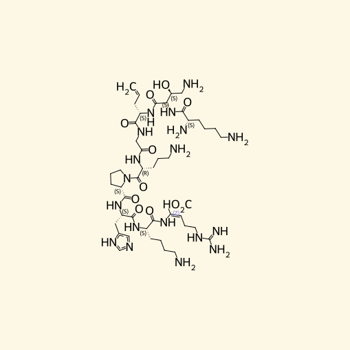 C=CC[C@H](NC(=O)[C@@H](NC(=O)[C@@H](N)CCCCN)[C@@H](O)CN)C(=O)NCC(=O)N[C@H](CCCN)C(=O)N1CCC[C@H]1C(=O)N[C@@H](Cc1cnc[nH]1)C(=O)N[C@@H](CCCCN)C(=O)N/C(=C\CCNC(=N)N)C(=O)O